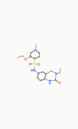 CCOc1cc(C)ccc1S(=O)(=O)Nc1ccc2c(c1)CN(CC)C(=O)N2